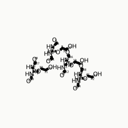 O=C[NH][Hf]([NH]C=O)[O]CCO.O=C[NH][Hf]([NH]C=O)[O]CCO.O=C[NH][Hf]([NH]C=O)[O]CCO.O=C[NH][Hf]([NH]C=O)[O]CCO